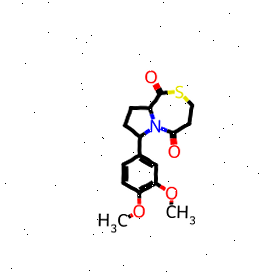 COc1ccc(C2CCC3C(=O)SCCC(=O)N32)cc1OC